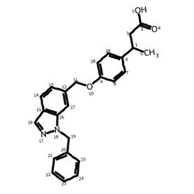 CC(CC(=O)O)c1ccc(OCc2ccc3cnn(Cc4ccccc4)c3c2)cc1